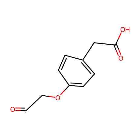 O=[C]COc1ccc(CC(=O)O)cc1